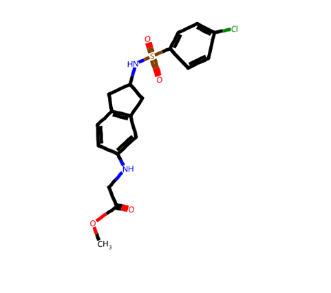 COC(=O)CNc1ccc2c(c1)CC(NS(=O)(=O)c1ccc(Cl)cc1)C2